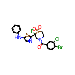 O=C(c1ccc(Br)c(Cl)c1)N1CCS(=O)(=O)C(F)(c2ncc(Nc3ccccc3)s2)C1